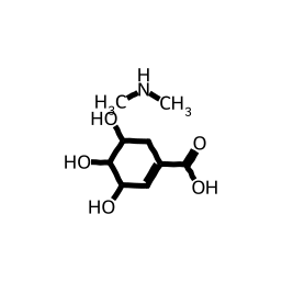 CNC.O=C(O)C1=CC(O)C(O)C(O)C1